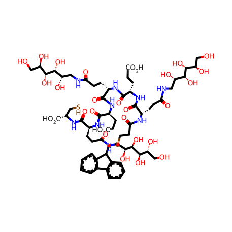 O=C(O)CC[C@H](NC(=O)[C@H](CCC(=O)NC[C@H](O)[C@@H](O)[C@H](O)[C@H](O)CO)NC(=O)CCSCC1c2ccccc2-c2ccccc21)C(=O)N[C@@H](CCC(=O)NC[C@H](O)[C@@H](O)[C@H](O)[C@H](O)CO)C(=O)N[C@@H](CCC(=O)O)C(=O)N[C@@H](CCC(=O)NC[C@H](O)[C@@H](O)[C@H](O)[C@H](O)CO)C(=O)N[C@@H](CS)C(=O)O